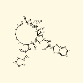 O=C(N[C@H]1CCCCC/C=C\[C@@H]2C[C@@]2(C(=O)O)NC(=O)[C@@H]2C[C@@H](OC(=O)N3Cc4ccccc4C3)CN2C1=O)O[C@H]1CCOC1